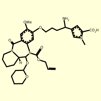 C=CCOC(=O)N1c2cc(OCCCC(N)c3cc(C(=O)O)n(C)c3)c(OC)cc2C(=O)N2CCCC[C@H]2C1OC1CCCCO1